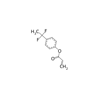 C=CC(=O)Oc1ccc(C(C)(F)F)cc1